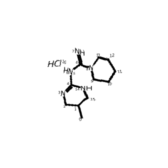 CC1CN=C(NC(=N)N2CCCCC2)NC1.Cl